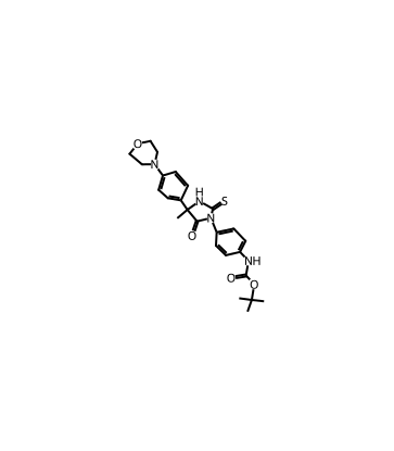 CC(C)(C)OC(=O)Nc1ccc(N2C(=O)C(C)(c3ccc(N4CCOCC4)cc3)NC2=S)cc1